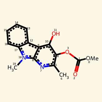 COC(=O)Oc1c(C)nc2c(c1O)c1ccccc1n2C